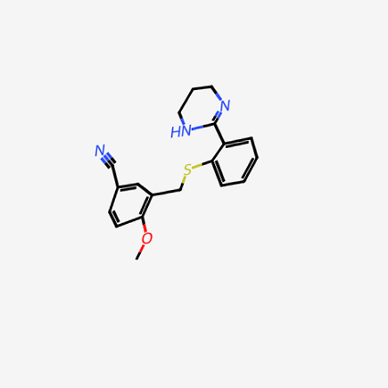 COc1ccc(C#N)cc1CSc1ccccc1C1=NCCCN1